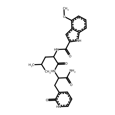 COc1cccc2[nH]c(C(=O)NC(CC(C)C)C(=O)NC(Cc3ccc[nH]c3=O)C(N)=O)cc12